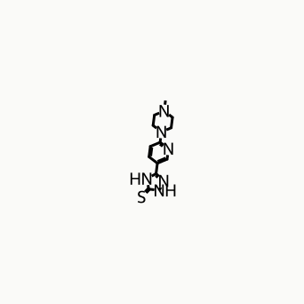 CN1CCN(c2ccc(-c3n[nH]c(=S)[nH]3)cn2)CC1